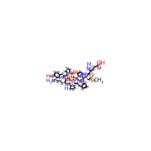 CSCC[C@H](NC(=O)[C@@H](N)CCC(=O)O)C(=O)N1CCC[C@H]1C(=O)N[C@@H](Cc1ccccc1)C(=O)N1CCC[C@H]1C(=O)N[C@@H](CCCCN)C(=O)N[C@@H](Cc1ccc(O)cc1)C(=O)N1CCC[C@H]1C(=O)O